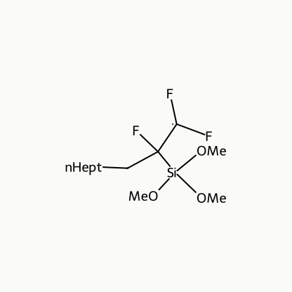 CCCCCCCCC(F)([C](F)F)[Si](OC)(OC)OC